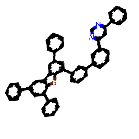 c1ccc(-c2cc(-c3ccccc3)c3sc4c(-c5cccc(-c6cccc(-c7cc(-c8ccccc8)ncn7)c6)c5)cc(-c5ccccc5)cc4c3c2)cc1